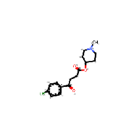 CN1CCC(OC(=O)CCC(=O)c2ccc(Cl)cc2)CC1